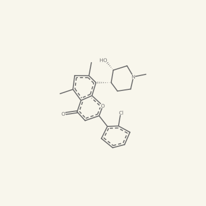 Cc1cc(C)c2c(=O)cc(-c3ccccc3Cl)oc2c1[C@H]1CCN(C)C[C@H]1O